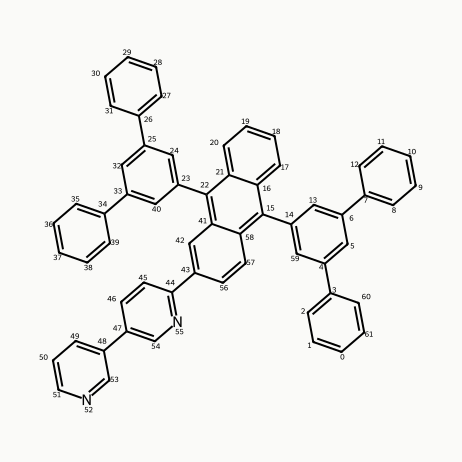 c1ccc(-c2cc(-c3ccccc3)cc(-c3c4ccccc4c(-c4cc(-c5ccccc5)cc(-c5ccccc5)c4)c4cc(-c5ccc(-c6cccnc6)cn5)ccc34)c2)cc1